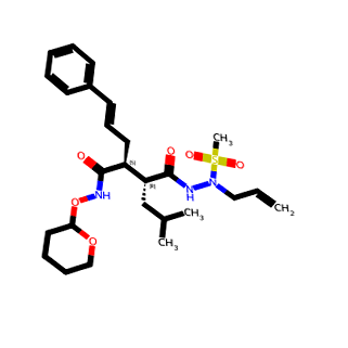 C=CCN(NC(=O)[C@H](CC(C)C)[C@H](CC=Cc1ccccc1)C(=O)NOC1CCCCO1)S(C)(=O)=O